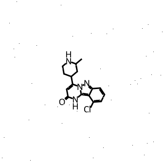 CC1CC(c2cc(=O)[nH]c3c4c(Cl)cccc4nn23)CCN1